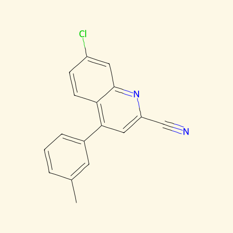 Cc1cccc(-c2cc(C#N)nc3cc(Cl)ccc23)c1